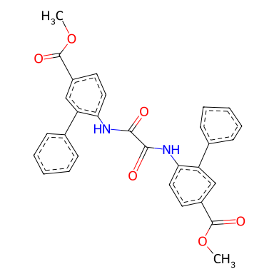 COC(=O)c1ccc(NC(=O)C(=O)Nc2ccc(C(=O)OC)cc2-c2ccccc2)c(-c2ccccc2)c1